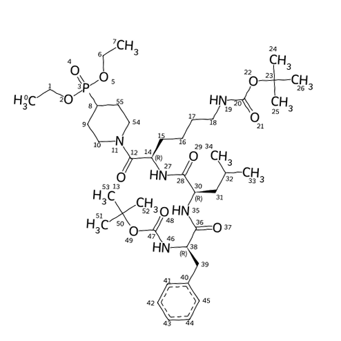 CCOP(=O)(OCC)C1CCN(C(=O)[C@@H](CCCCNC(=O)OC(C)(C)C)NC(=O)[C@@H](CC(C)C)NC(=O)[C@@H](Cc2ccccc2)NC(=O)OC(C)(C)C)CC1